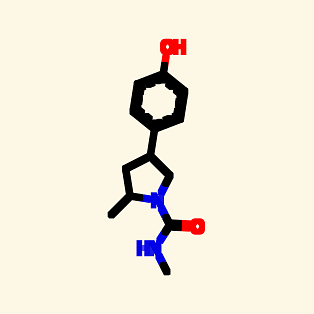 CNC(=O)N1CC(c2ccc(O)cc2)CC1C